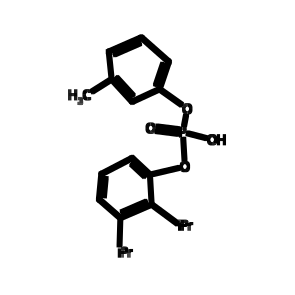 Cc1cccc(OP(=O)(O)Oc2cccc(C(C)C)c2C(C)C)c1